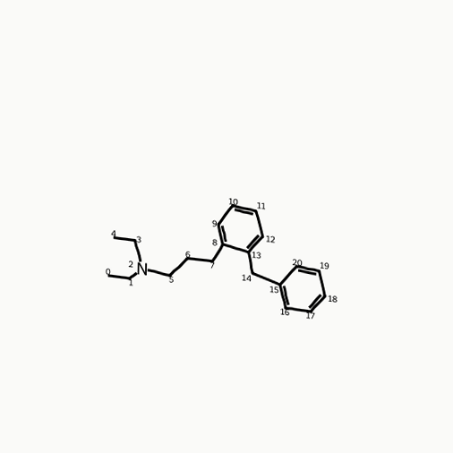 CCN(CC)CCCc1ccccc1Cc1ccccc1